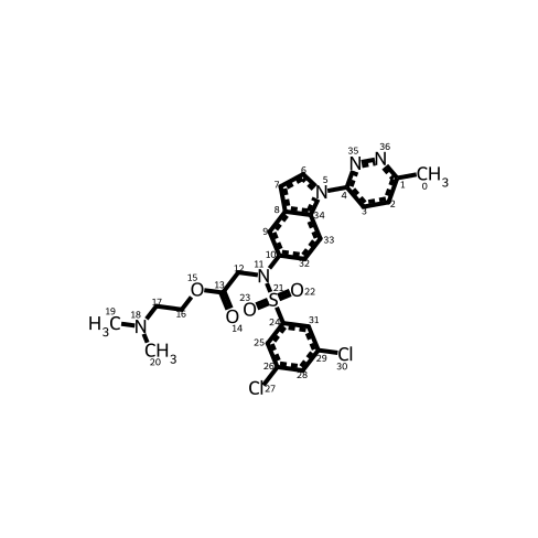 Cc1ccc(-n2ccc3cc(N(CC(=O)OCCN(C)C)S(=O)(=O)c4cc(Cl)cc(Cl)c4)ccc32)nn1